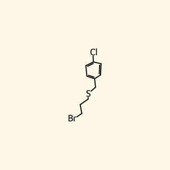 Clc1ccc(CSCCCBr)cc1